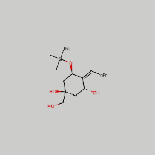 CCCC=C1[C@H](O)C[C@](O)(CO)C[C@H]1O[Si](C)(C)C(C)(C)C